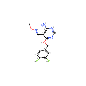 CON=Cc1c(N)ncnc1OCc1ccc(F)c(F)c1